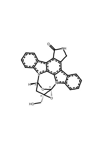 O=C1NCc2c1c1c3ccccc3n3c1c1c2c2ccccc2n1[C@]12O[C@@H]3C[C@]1(CO)O2